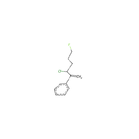 C=C(c1ccccc1)C(Cl)CCCF